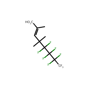 CC(=CC(C)(C)C(F)(F)C(F)(F)C(F)(F)C(F)(F)F)C(=O)O